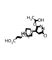 CC(O)Oc1nnc(Cl)cc1N1CCNCC1.O=C(O)/C=C/C(=O)O